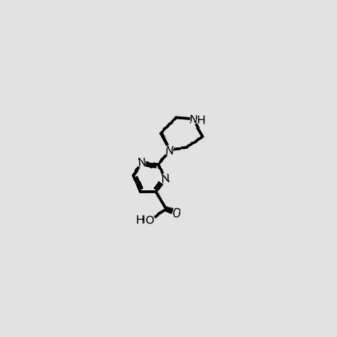 O=C(O)c1ccnc(N2CCNCC2)n1